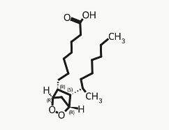 CCCCCCC(C)[C@H]1[C@@H](CCCCCCC(=O)O)[C@H]2C[C@H]1OO2